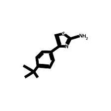 CC(C)(C)c1ccc(-c2csc(N)n2)cc1